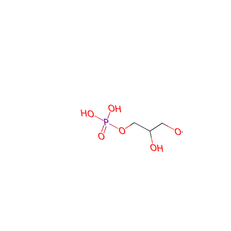 [O]CC(O)COP(=O)(O)O